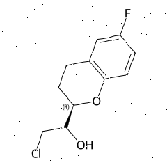 OC(CCl)[C@H]1CCc2cc(F)ccc2O1